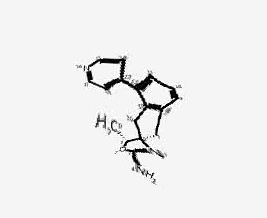 C[C@H]1OC(N)=N[C@@]12Cc1cccc(-c3ccncc3)c1C2